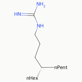 CCCCCC[C@@H](CCCCC)CCCNC(=N)N